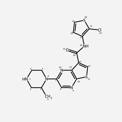 CC1CNCCN1c1cnc2scc(C(=O)Nc3ccsc3Cl)c2n1